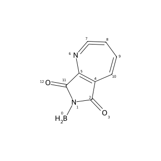 BN1C(=O)C2=C(N=C=CC=C2)C1=O